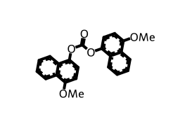 COc1ccc(OC(=O)Oc2ccc(OC)c3ccccc23)c2ccccc12